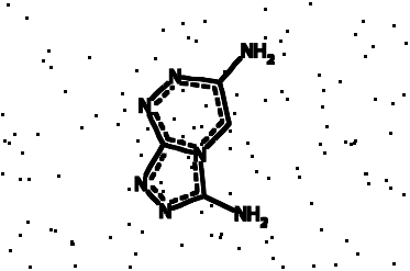 Nc1cn2c(N)nnc2nn1